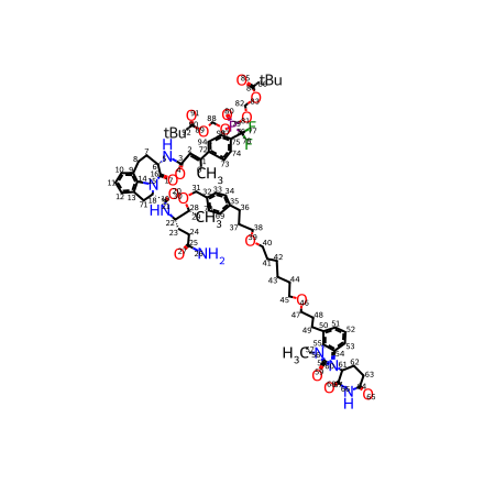 C/C(=C\C(=O)N[C@H]1CCc2cccc3c2N(C1=O)[C@H](C(=O)N[C@@H](CCC(N)=O)[C@@H](C)OCc1ccc(CCCOCCCCCCOCCCc2cccc4c2n(C)c(=O)n4C2CCC(=O)NC2=O)cc1)C3)c1ccc(C(F)(F)P(=O)(OCOC(=O)C(C)(C)C)OCOC(=O)C(C)(C)C)cc1